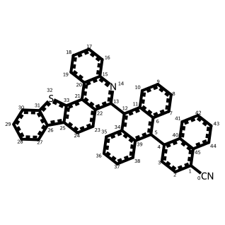 N#Cc1ccc(-c2c3ccccc3c(-c3nc4ccccc4c4c3ccc3c5ccccc5sc34)c3ccccc23)c2ccccc12